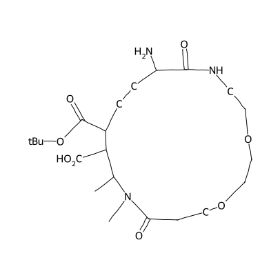 CC1C(C(=O)O)C(C(=O)OC(C)(C)C)CCC(N)C(=O)NCCOCCOCCC(=O)N1C